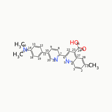 Cc1ccc2nc(-c3ccc(-c4ccc(N(C)C)cc4)cn3)cc(C(=O)O)c2c1